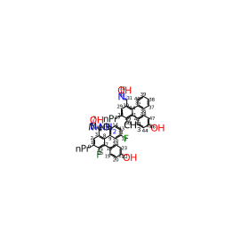 CCCc1cc(/C(N)=N/O)c(-c2cc(F)ccc2OC)c(-c2ccc(O)cc2)c1F.CCCc1cc(/C=N/O)c(-c2ccccc2)c(-c2ccc(O)cc2)c1C